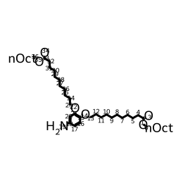 CCCCCCCCOC(=O)CCCCCCCCCCOc1ccc(N)cc1OCCCCCCCCCCC(=O)OCCCCCCCC